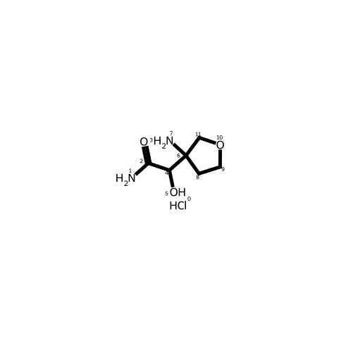 Cl.NC(=O)C(O)C1(N)CCOC1